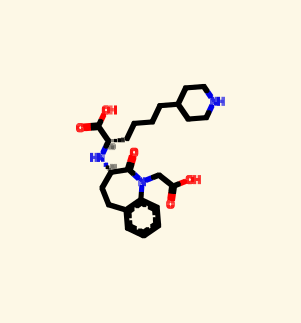 O=C(O)CN1C(=O)[C@@H](N[C@@H](CCCCC2CCNCC2)C(=O)O)CCc2ccccc21